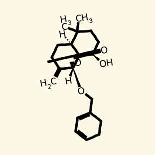 C=C1CC[C@H]2C(C)(C)CC[C@@H](O)[C@@]23C(=O)O[C@H](OCC2=CC=CCC2)[C@@H]13